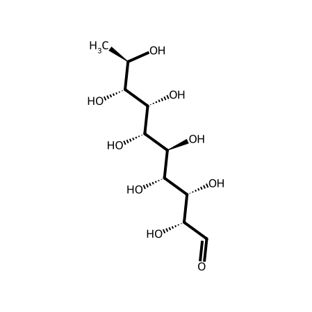 C[C@@H](O)[C@@H](O)[C@H](O)[C@@H](O)[C@@H](O)[C@@H](O)[C@H](O)[C@@H](O)C=O